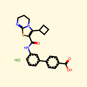 Cl.O=C(Nc1cccc(-c2ccc(C(=O)O)cc2)c1)C1=C(C2CCC2)N2CCCN=C2S1